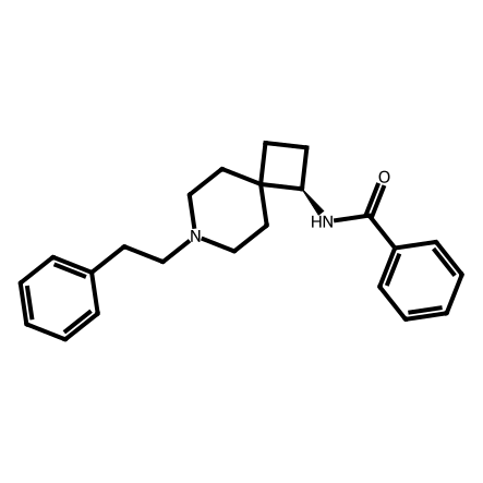 O=C(N[C@@H]1CCC12CCN(CCc1ccccc1)CC2)c1ccccc1